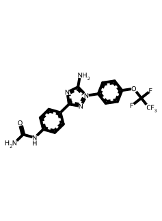 NC(=O)Nc1ccc(-c2nc(N)n(-c3ccc(OC(F)(F)C(F)(F)F)cc3)n2)cc1